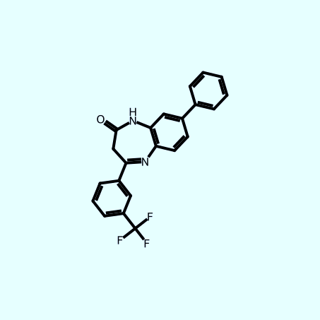 O=C1CC(c2cccc(C(F)(F)F)c2)=Nc2ccc(-c3ccccc3)cc2N1